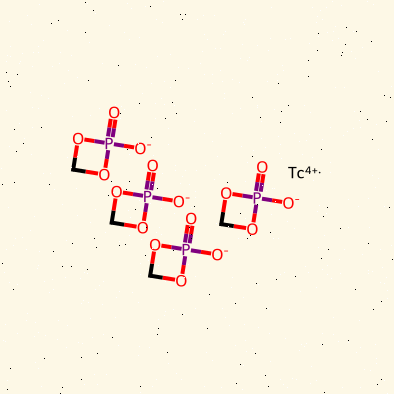 O=P1([O-])OCO1.O=P1([O-])OCO1.O=P1([O-])OCO1.O=P1([O-])OCO1.[Tc+4]